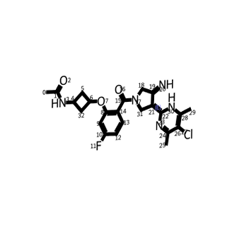 CC(=O)NC1CC(Oc2cc(F)ccc2C(=O)N2CC(=N)/C(=C3/N=C(C)C(Cl)=C(C)N3)C2)C1